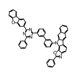 c1ccc(-c2nc(-c3cccc(-c4cccc(-n5c6cc7ccccc7cc6c6ccc7nc(-c8ccccc8)oc7c65)c4)c3)nc(-c3ccc4c(c3)oc3ccccc34)n2)cc1